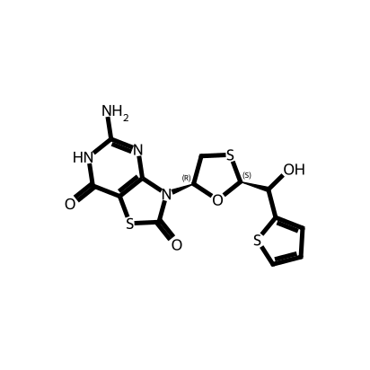 Nc1nc2c(sc(=O)n2[C@H]2CS[C@@H](C(O)c3cccs3)O2)c(=O)[nH]1